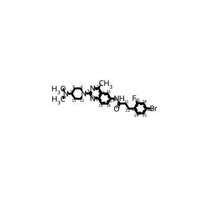 Cc1nc(N2CCC(N(C)C)CC2)nc2ccc(NC(=O)CCc3ccc(Br)cc3F)cc12